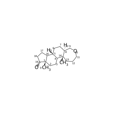 C[C@]12CCC3[C@@H](CC[C@H]4COCCC[C@]34C)C1CCC2=O